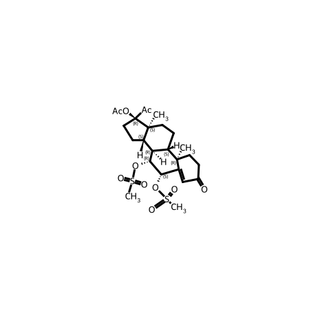 CC(=O)O[C@]1(C(C)=O)CC[C@H]2[C@@H]3[C@@H](OS(C)(=O)=O)[C@@H](OS(C)(=O)=O)C4=CC(=O)CC[C@]4(C)[C@H]3CC[C@@]21C